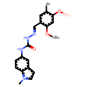 BOc1cc(OCCCC)c(/C=N/NC(=O)Nc2ccc3c(ccn3C)c2)cc1C(C)C